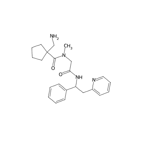 CN(CC(=O)NC(Cc1ccccn1)c1ccccc1)C(=O)C1(CN)CCCC1